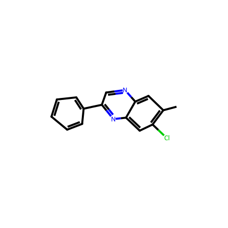 Cc1cc2ncc(-c3ccccc3)nc2cc1Cl